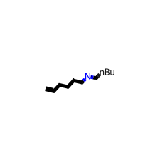 C=CCC[CH]C[N]CCCCC